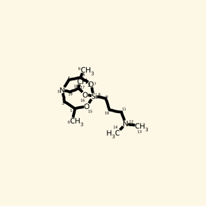 CC1CN2CC(C)O[Si](CCCN(C)C)(O1)OC(C)C2